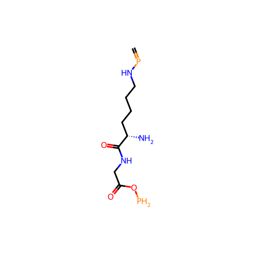 C=PNCCCC[C@H](N)C(=O)NCC(=O)OP